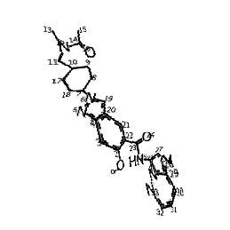 COc1cc2nn(C3CCC(CN(C)C(C)=O)CC3)cc2cc1C(=O)Nc1cnc2cccnn12